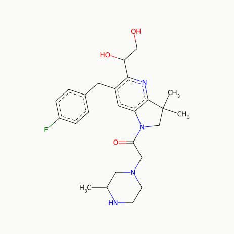 CC1CN(CC(=O)N2CC(C)(C)c3nc(C(O)CO)c(Cc4ccc(F)cc4)cc32)CCN1